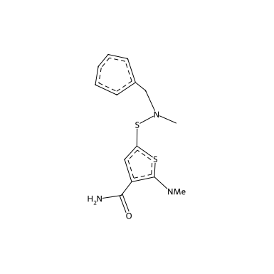 CNc1sc(SN(C)Cc2ccccc2)cc1C(N)=O